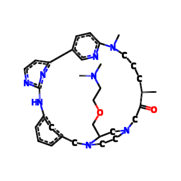 CC1CCCN(C)c2ccc(cn2)-c2ccnc(n2)Nc2cccc(c2)CN2CCN(CC1=O)CC2COCCN(C)C